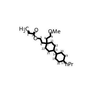 C=CC(=O)OCCC1(CCOC)CCC(C2CCC(CCC)CC2)CC1